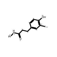 CC(C)NC(=O)CCc1ccc(O)c(I)c1